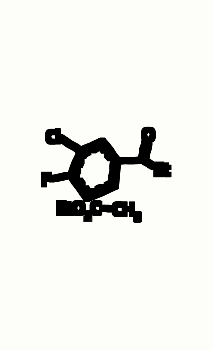 CCC(=O)c1ccc(F)c(Cl)c1.CCOC(C)=O